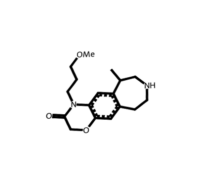 COCCCN1C(=O)COc2cc3c(cc21)C(C)CNCC3